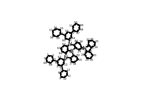 c1ccc(-c2cc(-c3ccccc3)cc(N3c4ccccc4B4c5cc(-n6c7ccccc7c7ccccc76)ccc5N(c5cc(-c6ccccc6)cc(-c6ccccc6)c5)c5cccc3c54)c2)cc1